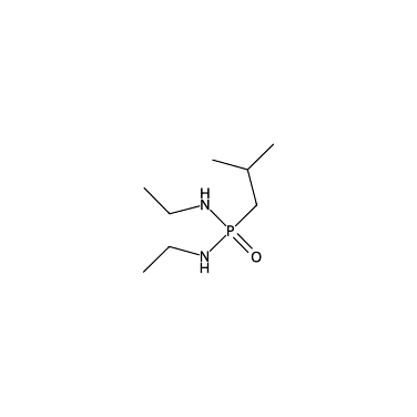 CCNP(=O)(CC(C)C)NCC